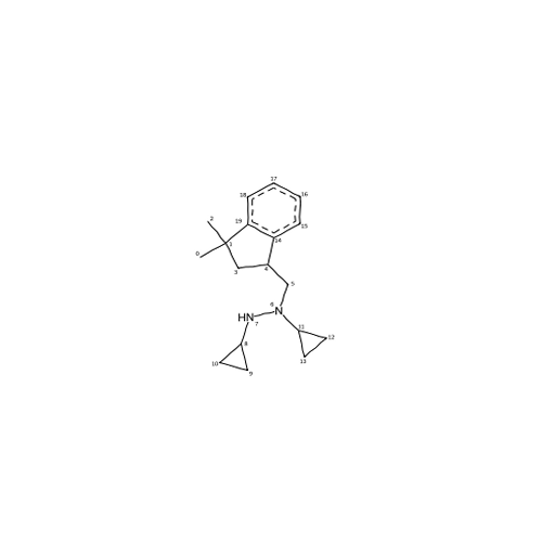 CC1(C)CC(CN(NC2CC2)C2CC2)c2ccccc21